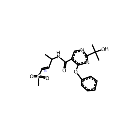 CC(/C=C/S(C)(=O)=O)NC(=O)c1cnc(C(C)(C)O)nc1Oc1ccccc1